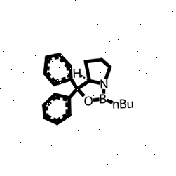 CCCCB1OC(c2ccccc2)(c2ccccc2)[C@H]2CCCN12